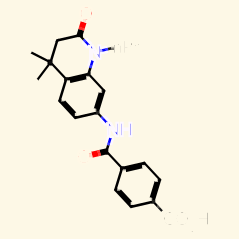 CCCN1C(=O)CC(C)(C)c2ccc(NC(=O)c3ccc(C(=O)O)cc3)cc21